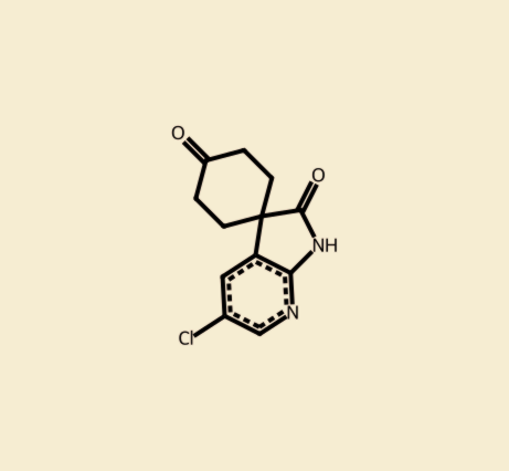 O=C1CCC2(CC1)C(=O)Nc1ncc(Cl)cc12